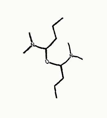 CCCC(OC(CCC)N(C)C)N(C)C